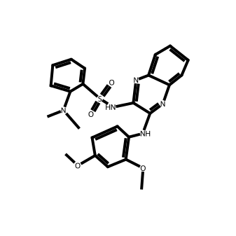 COc1ccc(Nc2nc3ccccc3nc2NS(=O)(=O)c2ccccc2N(C)C)c(OC)c1